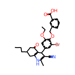 CCCC1CC(=O)C2=C(C1)NC(C)=C(C#N)C2c1cc(Br)c(OCc2cccc(C(=O)O)c2)c(OCC)c1